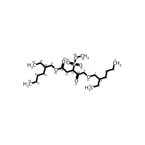 CCCCC(CC)COCC(=O)C(CC(=O)OCC(CC)CCCC)S(=O)(=O)OC